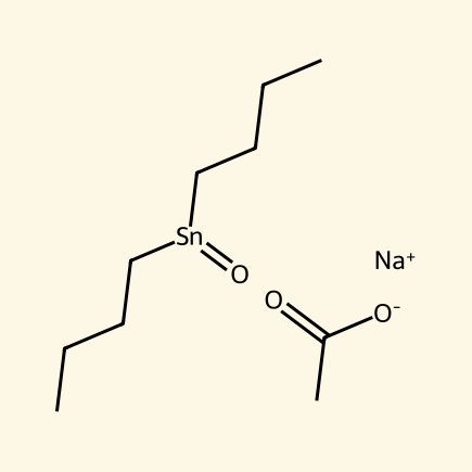 CC(=O)[O-].CCC[CH2][Sn](=[O])[CH2]CCC.[Na+]